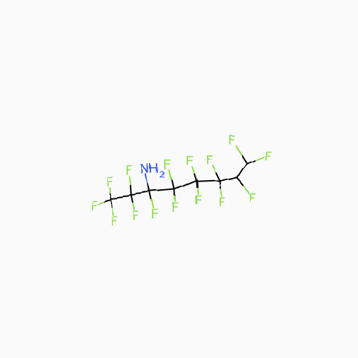 NC(F)(C(F)(F)C(F)(F)F)C(F)(F)C(F)(F)C(F)(F)C(F)C(F)F